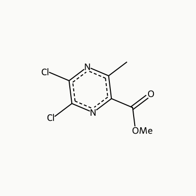 COC(=O)c1nc(Cl)c(Cl)nc1C